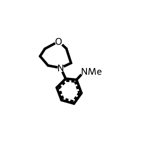 CNc1ccccc1N1CCCOCC1